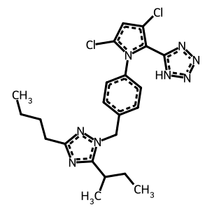 CCCCc1nc(C(C)CC)n(Cc2ccc(-n3c(Cl)cc(Cl)c3-c3nnn[nH]3)cc2)n1